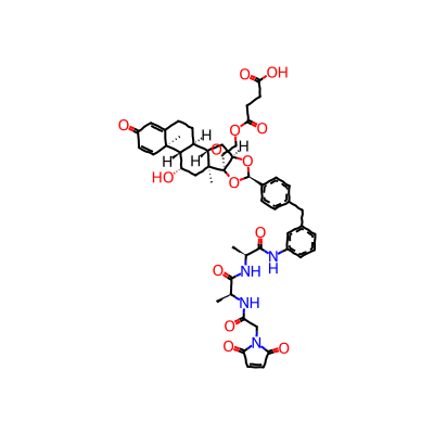 C[C@H](NC(=O)CN1C(=O)C=CC1=O)C(=O)N[C@@H](C)C(=O)Nc1cccc(Cc2ccc([C@@H]3O[C@@H]4C[C@H]5[C@@H]6CCC7=CC(=O)C=C[C@]7(C)[C@H]6[C@@H](O)C[C@]5(C)[C@]4(C(=O)COC(=O)CCC(=O)O)O3)cc2)c1